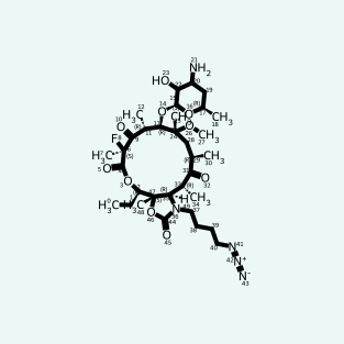 CC[C@H]1OC(=O)[C@@](C)(F)C(=O)[C@H](C)[C@@H](O[C@@H]2O[C@H](C)CC(N)C2O)[C@](C)(OC)C[C@@H](C)C(=O)[C@H](C)[C@H]2N(CCCCN=[N+]=[N-])C(=O)O[C@]12C